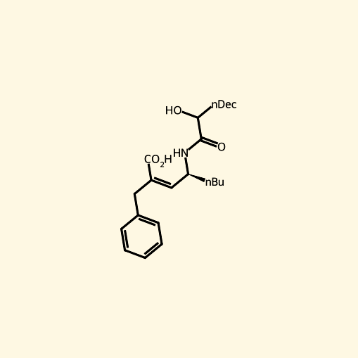 CCCCCCCCCCC(O)C(=O)N[C@H](C=C(Cc1ccccc1)C(=O)O)CCCC